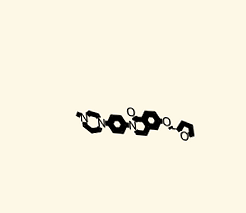 CN1CCCN(c2ccc(N3CCc4cc(OC[C@@H]5CCCO5)ccc4C3=O)cc2)CC1